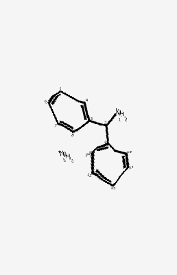 N.NC(c1ccccc1)c1ccccc1